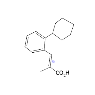 C/C(=C\c1ccccc1C1CCCCC1)C(=O)O